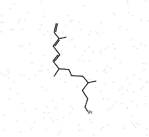 [CH]=C/C(C)=C/C=C/C(C)CCCC(C)CCCC(C)C